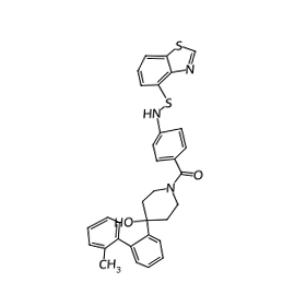 Cc1ccccc1-c1ccccc1C1(O)CCN(C(=O)c2ccc(NSc3cccc4scnc34)cc2)CC1